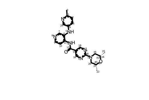 Cc1ccc(Nc2cnccc2NC(=O)c2cnc(N3C[C@@H](C)O[C@@H](C)C3)nc2)cn1